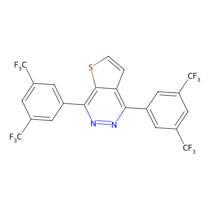 FC(F)(F)c1cc(-c2nnc(-c3cc(C(F)(F)F)cc(C(F)(F)F)c3)c3sccc23)cc(C(F)(F)F)c1